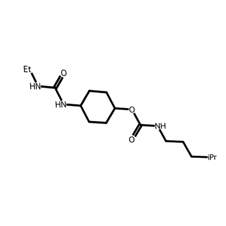 CCNC(=O)NC1CCC(OC(=O)NCCCC(C)C)CC1